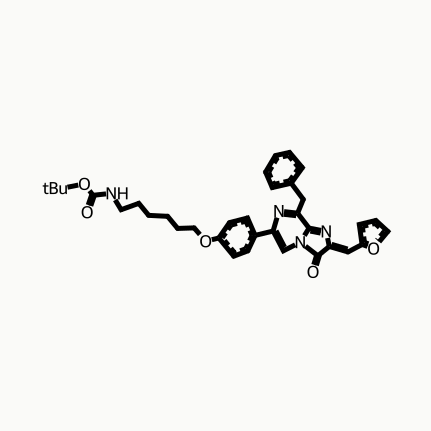 CC(C)(C)OC(=O)NCCCCCCOc1ccc(C2=CN3C(=O)/C(=C/c4ccco4)N=C3C(Cc3ccccc3)=N2)cc1